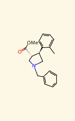 COC(=O)[C@H]1CN(Cc2ccccc2)C[C@@H]1c1ccccc1C